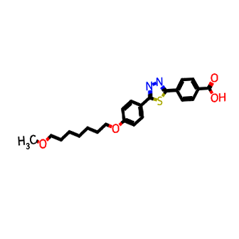 COCCCCCCCOc1ccc(-c2nnc(-c3ccc(C(=O)O)cc3)s2)cc1